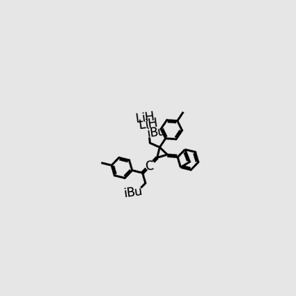 CCC(C)CC(=C=C1C(=c2c3cccc2=C3)C1(CC(C)CC)c1ccc(C)cc1)c1ccc(C)cc1.[LiH].[LiH]